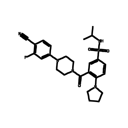 CC(C)NS(=O)(=O)c1ccc(N2CCCC2)c(C(=O)N2CCN(c3ccc(C#N)c(F)c3)CC2)c1